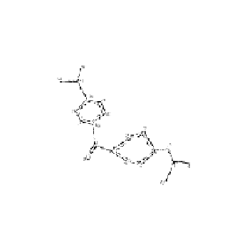 CC(C)Sc1ccc(C(=O)c2ccc(C(C)C)cc2)cc1